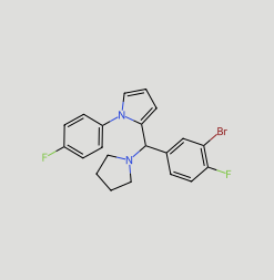 Fc1ccc(-n2cccc2C(c2ccc(F)c(Br)c2)N2CCCC2)cc1